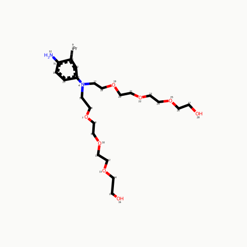 CC(C)c1cc(N(CCOCCOCCOCCO)CCOCCOCCOCCO)ccc1N